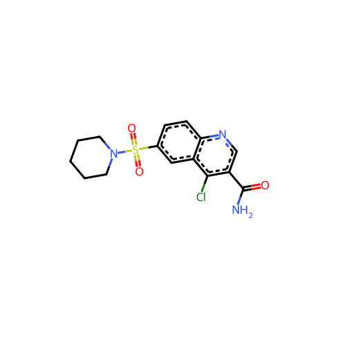 NC(=O)c1cnc2ccc(S(=O)(=O)N3CCCCC3)cc2c1Cl